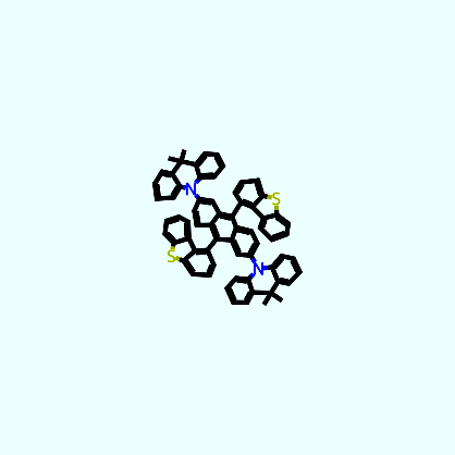 CC1(C)c2ccccc2N(c2ccc3c(-c4cccc5sc6ccccc6c45)c4cc(N5c6ccccc6C(C)(C)c6ccccc65)ccc4c(-c4cccc5sc6ccccc6c45)c3c2)c2ccccc21